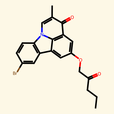 CCCC(=O)COc1cc2c(=O)c(C)cn3c4ccc(Br)cc4c(c1)c23